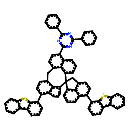 c1ccc(-c2nc(-c3ccccc3)nc(-c3ccc4c5c(cccc35)C3(Cc5ccc(-c6cccc7c6sc6ccccc67)c6cccc3c56)c3cccc5c(-c6cccc7c6sc6ccccc67)ccc(c35)C4)n2)cc1